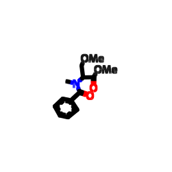 COCC(C(=O)OC)N(C)C(=O)c1ccccc1